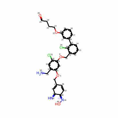 N=C1C=C(COc2cc(OCc3cccc(-c4cccc(OCCCC=O)c4)c3Cl)c(Cl)cc2CN)C=C/C1=N/O